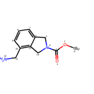 CC(C)(C)OC(=O)N1Cc2cccc(CN)c2C1